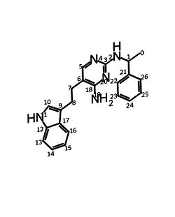 CC(Nc1ncc(CCc2c[nH]c3ccccc23)c(N)n1)c1ccccc1